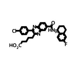 O=C(O)CCCCc1nc2cc(C(=O)N[C@@H]3CCCc4cc(F)ccc43)ccc2nc1-c1ccc(Cl)cc1